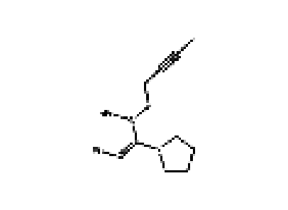 CC#CCCN(CCC)/C(=C\CC)N1CCCC1